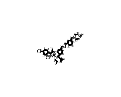 CCCN(c1nc(-c2ccc(Cl)cc2Cl)c(C)s1)C(c1ccc(COCc2cccc(CN3CCN(C)CC3)c2)cc1)C1CC1